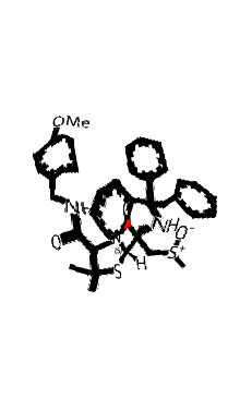 COc1ccc(CNC(=O)C2N3C(=O)C(C[S+](C)[O-])(NC(c4ccccc4)(c4ccccc4)c4ccccc4)[C@@H]3SC2(C)C)cc1